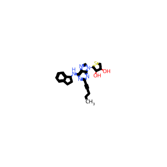 CCCC#Cc1nc(N[C@H]2CCc3ccccc32)c2ncn([C@@H]3SC[C@@H](O)[C@H]3O)c2n1